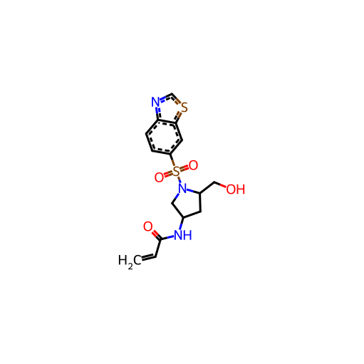 C=CC(=O)NC1CC(CO)N(S(=O)(=O)c2ccc3ncsc3c2)C1